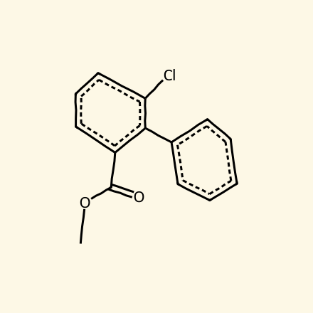 COC(=O)c1cccc(Cl)c1-c1ccccc1